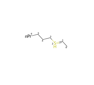 CC=[SH]CCCCCC